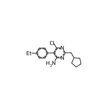 CCc1ccc(-c2c(N)nc(CC3CCCC3)nc2Cl)cc1